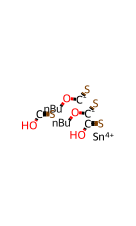 CCCCO[C-]=S.CCCCO[C-]=S.O[C-]=S.O[C-]=S.[Sn+4]